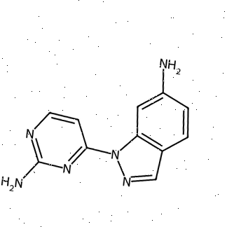 Nc1ccc2cnn(-c3ccnc(N)n3)c2c1